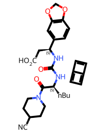 CCCC[C@H](NC(=O)N[C@@H](CC(=O)O)c1ccc2c(c1)OCO2)C(=O)N1CCC(C#N)CC1.c1cc2ccc1-2